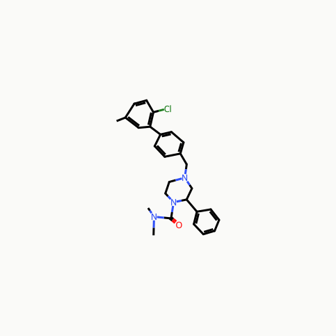 Cc1ccc(Cl)c(-c2ccc(CN3CCN(C(=O)N(C)C)C(c4ccccc4)C3)cc2)c1